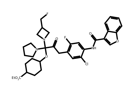 CCOC(=O)C1CCC(OC(C(=O)Cc2cc(Cl)c(NC(=O)c3coc4ccccc34)cc2F)(N2CCCC2)N2CC(CF)C2)CC1